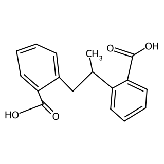 CC(Cc1ccccc1C(=O)O)c1ccccc1C(=O)O